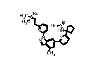 Cc1cc(-c2cccc(C3(N[S+]([O-])C(C)(C)C)CCCC3)n2)cc2c1cnn2-c1cccc(CC[Si](C)(C)C(C)(C)C)n1